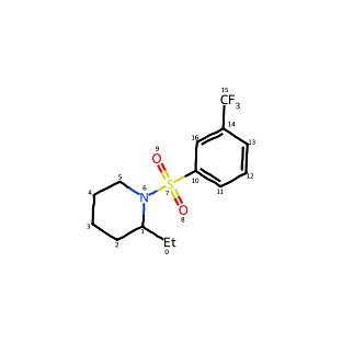 CCC1CCCCN1S(=O)(=O)c1cccc(C(F)(F)F)c1